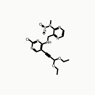 CCOC(C#Cc1cnc(Cl)nc1NCc1nccnc1N(C)[SH](=O)=O)OCC